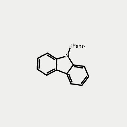 CCCC[CH]n1c2ccccc2c2ccccc21